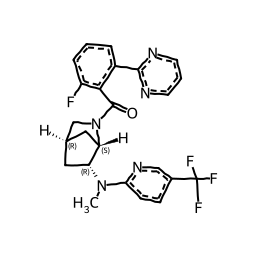 CN(c1ccc(C(F)(F)F)cn1)[C@@H]1C[C@@H]2C[C@@H]1N(C(=O)c1c(F)cccc1-c1ncccn1)C2